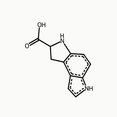 O=C(O)C1Cc2c(ccc3[nH]ccc23)N1